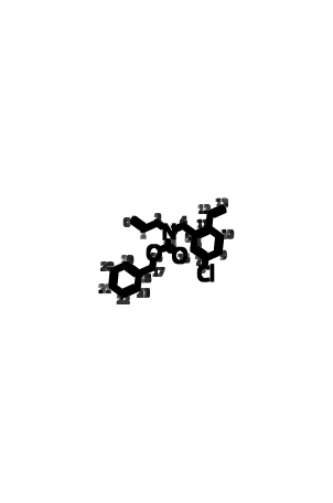 C=CCN(Cc1cc(Cl)ccc1C=C)C(=O)OCc1ccccc1